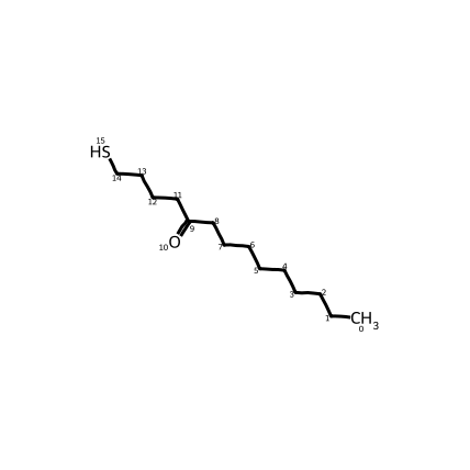 CCCCCCCCCC(=O)CCCCS